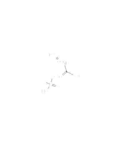 CC(N)=O.O=P(O)(O)O.O=[SH2]